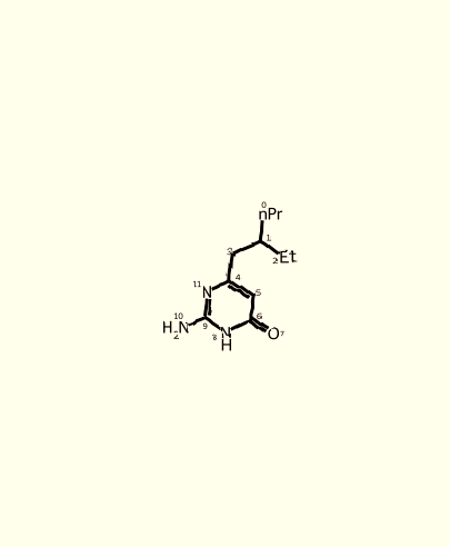 CCCC(CC)Cc1cc(=O)[nH]c(N)n1